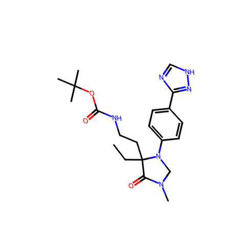 CCC1(CCNC(=O)OC(C)(C)C)C(=O)N(C)CN1c1ccc(-c2nc[nH]n2)cc1